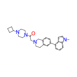 Cn1ccc2c(-c3ccc4c(c3)CCN(CC(=O)N3CCN(C5CCC5)CC3)C4)cccc21